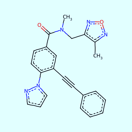 Cc1nonc1CN(C)C(=O)c1ccc(-n2cccn2)c(C#Cc2ccccc2)c1